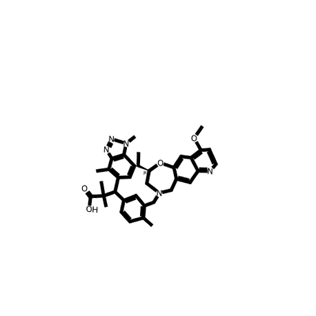 CC[C@@H]1CN(Cc2cc(C(c3ccc4c(nnn4C)c3C)C(C)(C)C(=O)O)ccc2C)Cc2cc3nccc(OC)c3cc2O1